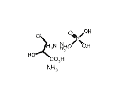 N.N.N.O=C(O)C(O)CCl.O=P(O)(O)O